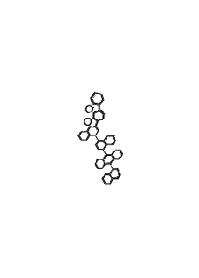 c1ccc2c(-c3c4ccccc4c(-c4ccc(-c5cc6c7ccc8c9ccccc9oc8c7oc6c6ccccc56)c5ccccc45)c4ccccc34)cccc2c1